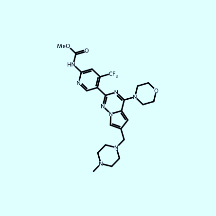 COC(=O)Nc1cc(C(F)(F)F)c(-c2nc(N3CCOCC3)c3cc(CN4CCN(C)CC4)cn3n2)cn1